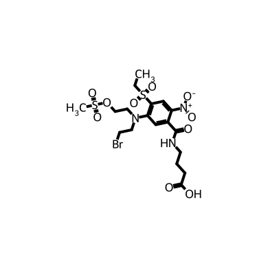 CCS(=O)(=O)c1cc([N+](=O)[O-])c(C(=O)NCCCC(=O)O)cc1N(CCBr)CCOS(C)(=O)=O